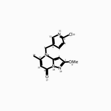 COc1cc2n(Cc3ccc(Cl)nc3)c(C)cc(=O)n2n1